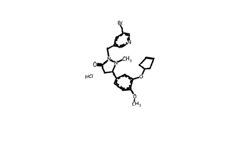 COc1ccc(C2CC(=O)N(Cc3cncc(Br)c3)N2C)cc1OC1CCCC1.Cl